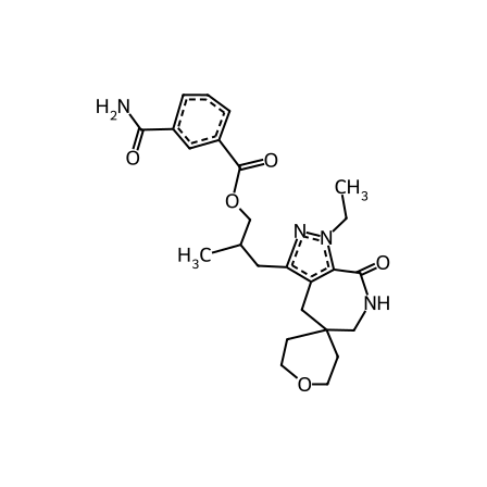 CCn1nc(CC(C)COC(=O)c2cccc(C(N)=O)c2)c2c1C(=O)NCC1(CCOCC1)C2